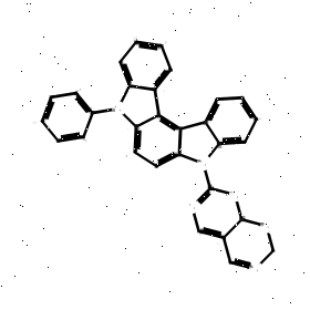 C1=NCNC2NC(n3c4ccccc4c4c5c6ccccc6n(-c6ccccc6)c5ccc43)=NC=C12